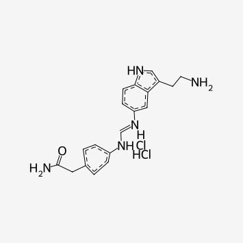 Cl.Cl.NCCc1c[nH]c2ccc(N=CNc3ccc(CC(N)=O)cc3)cc12